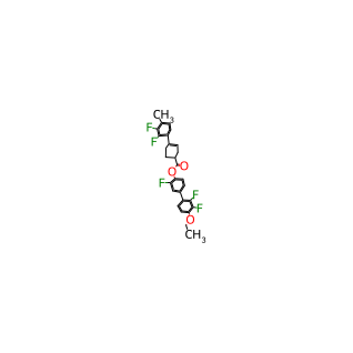 CCOc1ccc(-c2ccc(OC(=O)C3CC=C(c4ccc(C)c(F)c4F)CC3)c(F)c2)c(F)c1F